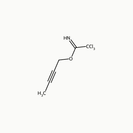 CC#CCOC(=N)C(Cl)(Cl)Cl